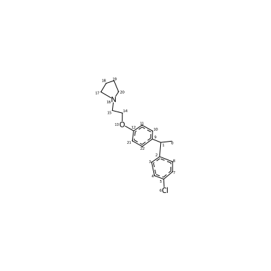 CC(c1ccc(Cl)cc1)c1ccc(OCCN2CCCC2)cc1